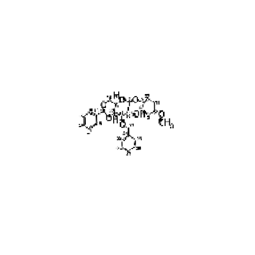 COc1ccc(O[C@@H]2O[C@@H]3COC(c4ccccc4)O[C@H]3[C@H](OCc3ccccc3)[C@H]2O)cc1